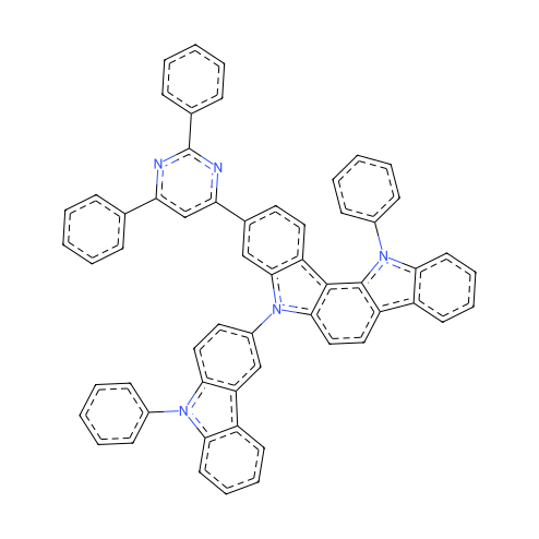 c1ccc(-c2cc(-c3ccc4c5c(ccc6c7ccccc7n(-c7ccccc7)c65)n(-c5ccc6c(c5)c5ccccc5n6-c5ccccc5)c4c3)nc(-c3ccccc3)n2)cc1